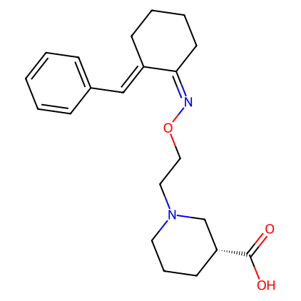 O=C(O)[C@@H]1CCCN(CCON=C2CCCCC2=Cc2ccccc2)C1